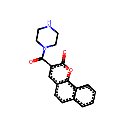 O=C(c1cc2ccc3ccccc3c2oc1=O)N1CCNCC1